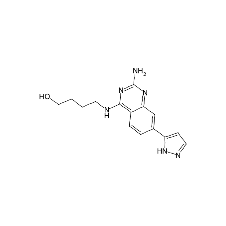 Nc1nc(NCCCCO)c2ccc(-c3ccn[nH]3)cc2n1